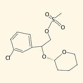 CS(=O)(=O)OCC(O[C@H]1CCCCO1)c1cccc(Cl)c1